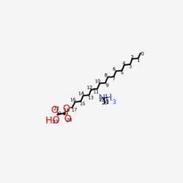 CCCCCCCCCCCCCCCCCCOC(=O)C(=O)O.N.[Ti]